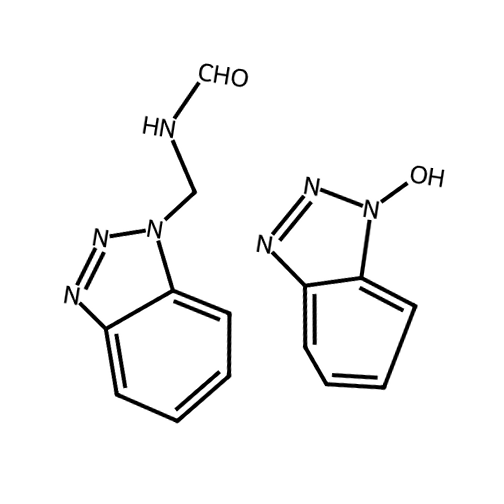 O=CNCn1nnc2ccccc21.On1nnc2ccccc21